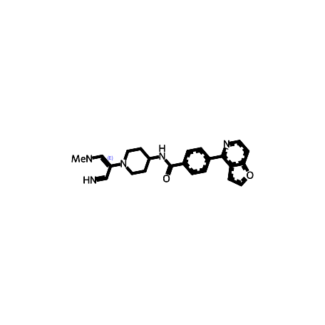 CN/C=C(\C=N)N1CCC(NC(=O)c2ccc(-c3nccc4occc34)cc2)CC1